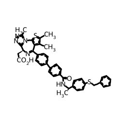 Cc1sc2c(c1C)C(c1ccc(-c3ccc(C(=O)N[C@H](C)c4ccc(SCc5ccccc5)cc4)cc3)cc1)=N[C@@H](CC(=O)O)c1nnc(C)n1-2